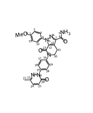 COc1ccc(-n2nc(C(N)=O)c3c2C(=O)N(c2ccc(-n4nc(C)ccc4=O)cc2)CC3)cc1